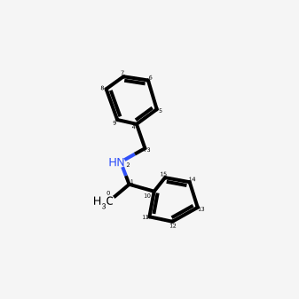 CC(N[CH]c1ccccc1)c1ccccc1